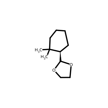 CC1(C)CCCC[C@H]1C1OCCO1